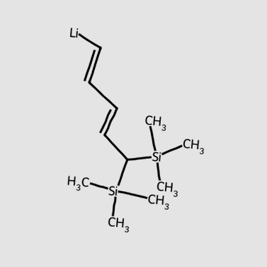 [Li][CH]=CC=CC([Si](C)(C)C)[Si](C)(C)C